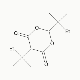 CCC(C)(C)C1OC(=O)C(C(C)(C)CC)C(=O)O1